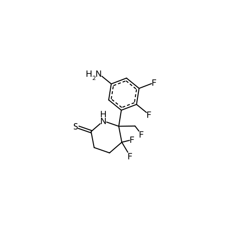 Nc1cc(F)c(F)c(C2(CF)NC(=S)CCC2(F)F)c1